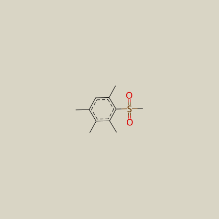 Cc1cc(C)c(S(C)(=O)=O)c(C)c1C